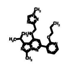 CCCOc1ncccc1-c1cc(NCc2ncn(C)n2)c2c(C(C)C)nc(C)n2n1